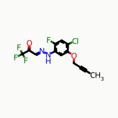 CC#CCOc1cc(NN=CC(=O)C(F)(F)F)c(F)cc1Cl